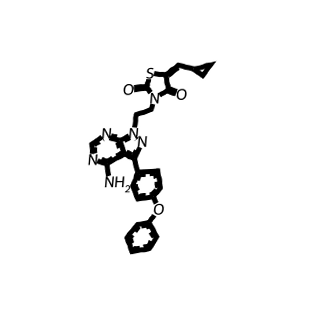 Nc1ncnc2c1c(-c1ccc(Oc3ccccc3)cc1)nn2CCN1C(=O)SC(=CC2CC2)C1=O